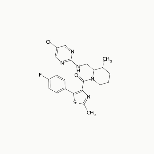 Cc1nc(C(=O)N2CCC[C@@H](C)C2CNc2ncc(Cl)cn2)c(-c2ccc(F)cc2)s1